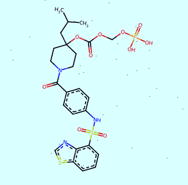 CC(C)CC1(OC(=O)OCOP(=O)(O)O)CCN(C(=O)c2ccc(NS(=O)(=O)c3cccc4scnc34)cc2)CC1